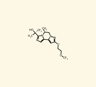 C[C@H]1Cn2nc(OCCOC(F)(F)F)cc2-c2cnc([C@@](C)(O)C(F)(F)F)n21